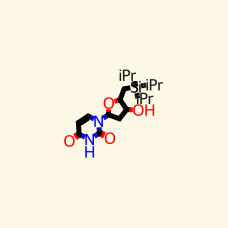 CC(C)[Si](CC1OC(n2ccc(=O)[nH]c2=O)CC1O)(C(C)C)C(C)C